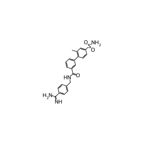 Cc1cc(S(N)(=O)=O)ccc1-c1cccc(C(=O)NCc2ccc(C(=N)N)cc2)c1